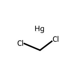 ClCCl.[Hg]